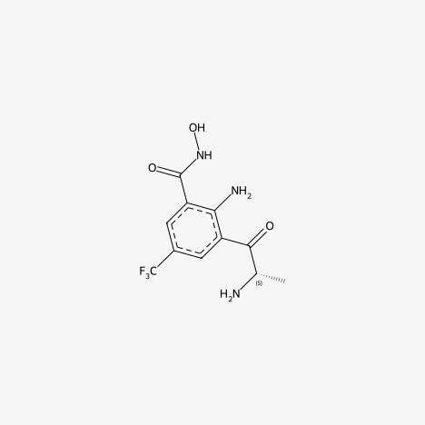 C[C@H](N)C(=O)c1cc(C(F)(F)F)cc(C(=O)NO)c1N